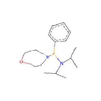 CC(C)N(C(C)C)P(c1ccccc1)N1CCOCC1